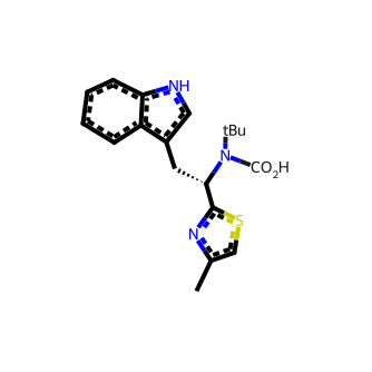 Cc1csc([C@H](Cc2c[nH]c3ccccc23)N(C(=O)O)C(C)(C)C)n1